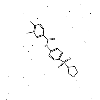 Cc1ccc(C(=O)Nc2ccc(S(=O)(=O)N3CCCC3)cc2)cc1C